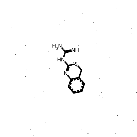 N=C(N)NC1=Nc2ccccc2CS1